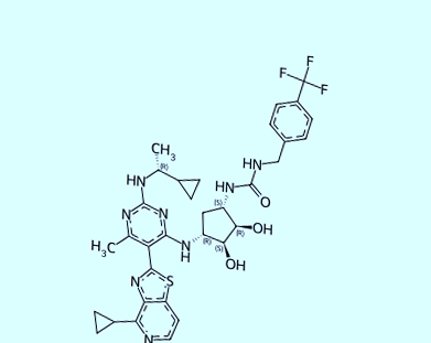 Cc1nc(N[C@H](C)C2CC2)nc(N[C@@H]2C[C@H](NC(=O)NCc3ccc(C(F)(F)F)cc3)[C@@H](O)[C@H]2O)c1-c1nc2c(C3CC3)nccc2s1